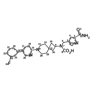 NC(=O)c1cc(CN(C(=O)O)C2CC3(CCN(c4ccc(-c5cccc(F)c5)cn4)CC3)C2)on1